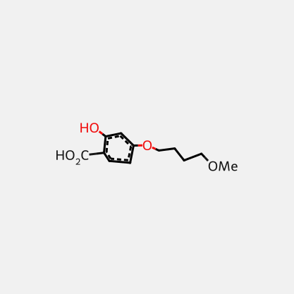 COCCCCOc1ccc(C(=O)O)c(O)c1